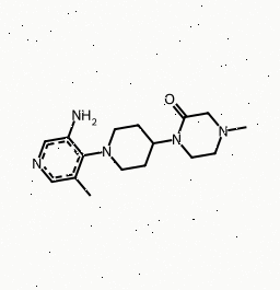 Cc1cncc(N)c1N1CCC(N2CCN(C)CC2=O)CC1